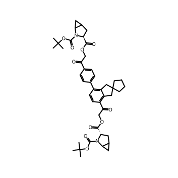 CC(C)(C)OC(=O)N1C2CC2C[C@H]1C(=O)OCC(=O)c1ccc(-c2ccc(C(=O)COC(=O)[C@@H]3CC4CC4N3C(=O)OC(C)(C)C)c3c2CC2(CCCC2)C3)cc1